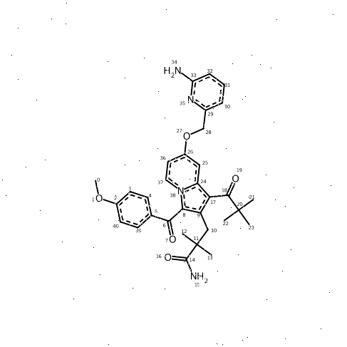 COc1ccc(C(=O)c2c(CC(C)(C)C(N)=O)c(C(=O)C(C)(C)C)c3cc(OCc4cccc(N)n4)ccn23)cc1